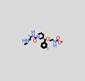 CCNC[C@H](C)NC(=O)N1CCC[C@@H](C(OCCNC(=O)OC)c2cccc(F)c2)C1